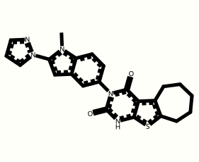 Cn1c(-n2cccn2)cc2cc(-n3c(=O)[nH]c4sc5c(c4c3=O)CCCCC5)ccc21